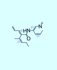 C=C/C=C(C(=O)NC(/C=C\C)=C/N=C)\C(C)=C/CC